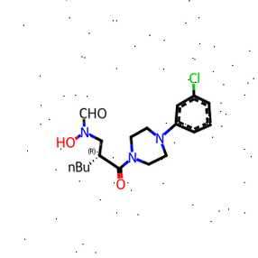 CCCC[C@H](CN(O)C=O)C(=O)N1CCN(c2cccc(Cl)c2)CC1